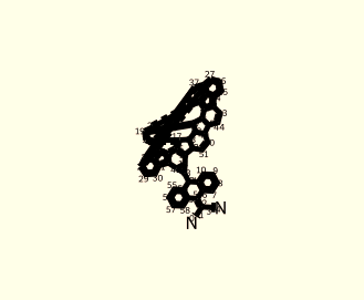 N#CC(C#N)=C1c2ccccc2C(C2C3C4=c5c6c7c8c9c%10c%11c(c%12ccc%13c%14ccc%15c(c5c5c%15c%14c(c%13c%12%10)c9c75)C32)C=CC2C%11C=8C3C2C=CC4C63)c2ccccc21